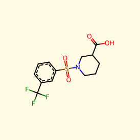 O=C(O)C1CCCN(S(=O)(=O)c2cccc(C(F)(F)F)c2)C1